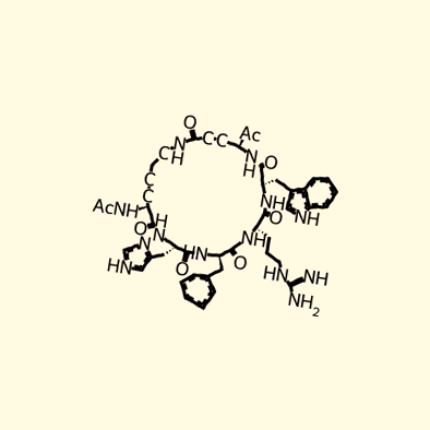 CC(=O)N[C@H]1CCCCNC(=O)CC[C@@H](C(C)=O)NC(=O)[C@H](Cc2c[nH]c3ccccc23)NC(=O)[C@H](CCCNC(=N)N)NC(=O)[C@@H](Cc2ccccc2)NC(=O)[C@H](Cc2c[nH]cn2)NC1=O